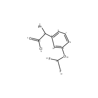 CC(C)C(C(=O)Cl)c1cccc(OC(F)F)c1